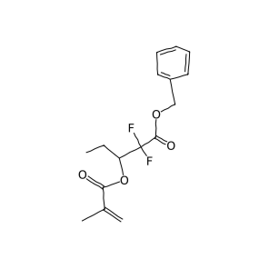 C=C(C)C(=O)OC(CC)C(F)(F)C(=O)OCc1ccccc1